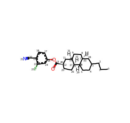 CCCC1CC[C@H]2[C@@H](CC[C@@H]3C[C@H](C(=O)Oc4ccc(C#N)c(F)c4)CC[C@@H]32)C1